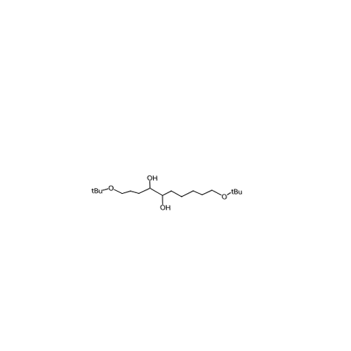 CC(C)(C)OCCCCCC(O)C(O)CCCOC(C)(C)C